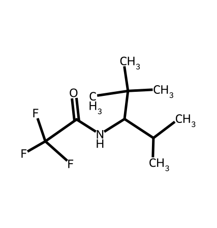 CC(C)C(NC(=O)C(F)(F)F)C(C)(C)C